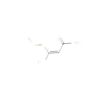 COC(=O)/C=C(/C)OSI